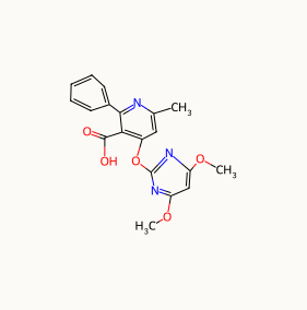 COc1cc(OC)nc(Oc2cc(C)nc(-c3ccccc3)c2C(=O)O)n1